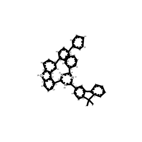 CC1(C)c2ccccc2-c2cc(-c3nc(-c4ccccc4)nc(-c4cccc5oc6ccc(-c7ccc(-c8ccccc8)cc7)cc6c45)n3)ccc21